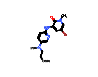 COCCN(c1ccc(Nc2cc(Br)cn(C)c2=O)nc1)C(C)C